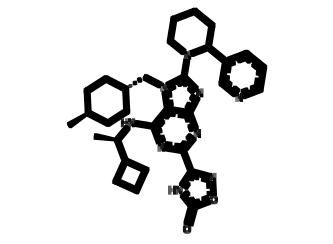 C[C@@H](Nc1nc(-c2noc(=O)[nH]2)nc2nc(N3CCCCC3c3cccnc3)n(C[C@H]3CC[C@H](C)CC3)c12)C1CCC1